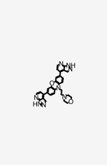 c1cc(-c2ccc3c(c2)Oc2cc(-c4ccnc5[nH]ncc45)ccc2N3CCN2CCOCC2)c2cn[nH]c2n1